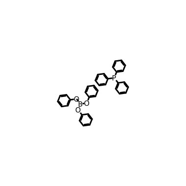 c1ccc(OB(Oc2ccccc2)Oc2ccccc2)cc1.c1ccc(P(c2ccccc2)c2ccccc2)cc1